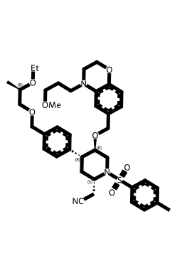 CCO[C@H](C)COCc1ccc([C@H]2C[C@@H](CC#N)N(S(=O)(=O)c3ccc(C)cc3)C[C@@H]2OCc2ccc3c(c2)N(CCCOC)CCO3)cc1